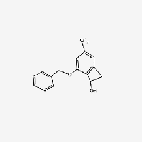 Cc1cc2c(c(OCc3ccccc3)c1)C(O)C2